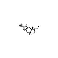 CCCN1CCC[C@H]2Cc3nc(NC)sc3C[C@@H]21